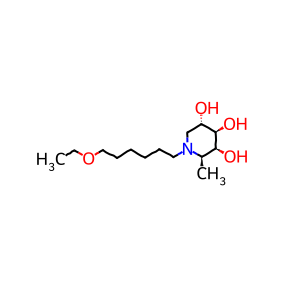 CCOCCCCCCN1C[C@H](O)[C@@H](O)[C@@H](O)[C@H]1C